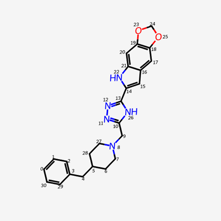 c1ccc(CC2CCN(Cc3nnc(-c4cc5cc6c(cc5[nH]4)OCO6)[nH]3)CC2)cc1